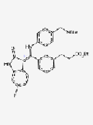 CCOC(=O)CCc1cccc(/C(Nc2ccc(CNC)cc2)=C2/C(=O)Nc3cc(F)ccc32)c1